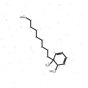 CCCCCCCCCCCCCCCCCCC1([N+](=O)[O-])C=CC=CC1S(=O)(=O)O